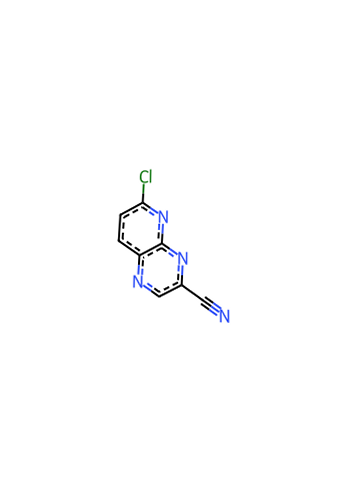 N#Cc1cnc2ccc(Cl)nc2n1